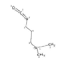 C[Si](C)CCCN=C=O